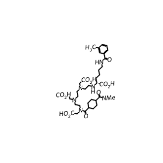 CNC(=O)C1CCC(C(=O)N(CCN(CCN(CCN[C@H](CCCCNC(=O)c2cccc(C)c2)C(=O)O)CC(=O)O)CC(=O)O)CC(=O)O)CC1